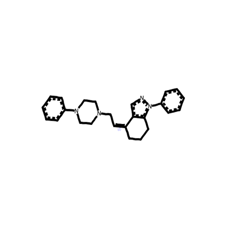 C(/CN1CCN(c2ccccc2)CC1)=C1\CCCc2c1cnn2-c1ccccc1